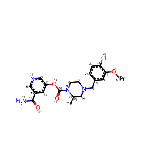 CC(C)Oc1cc(CN2CCN(C(=O)Oc3cncc(C(N)=O)c3)[C@H](C)C2)ccc1Cl